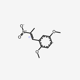 COc1[c]cc(OC)c(/C=C(\C)[N+](=O)[O-])c1